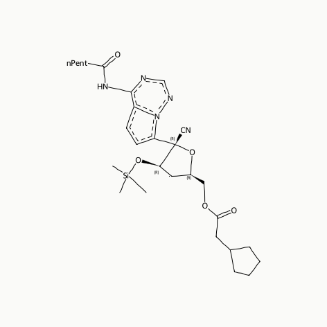 CCCCCC(=O)Nc1ncnn2c([C@]3(C#N)O[C@@H](COC(=O)CC4CCCC4)[CH][C@H]3O[Si](C)(C)C)ccc12